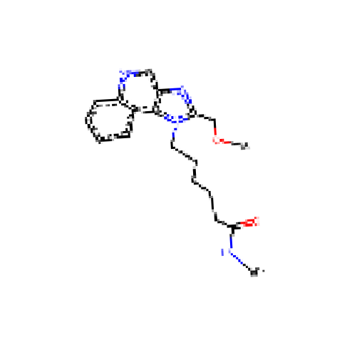 CCCNC(=O)CCCCCn1c(COCC)nc2cnc3ccccc3c21